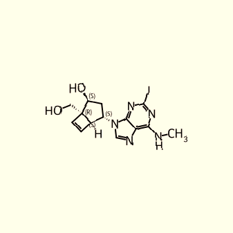 CNc1nc(I)nc2c1ncn2[C@H]1C[C@H](O)[C@]2(CO)C=C[C@H]12